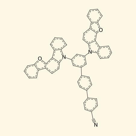 N#Cc1ccc(-c2ccc(-c3cc(-n4c5ccccc5c5c6oc7ccccc7c6ccc54)cc(-n4c5ccccc5c5c6oc7ccccc7c6ccc54)c3)cc2)cc1